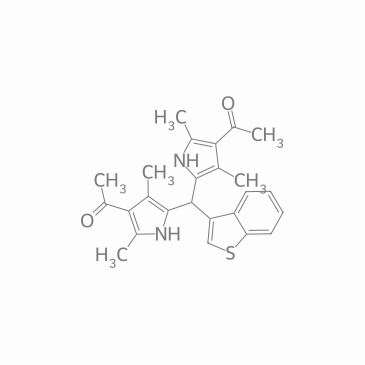 CC(=O)c1c(C)[nH]c(C(c2[nH]c(C)c(C(C)=O)c2C)c2csc3ccccc23)c1C